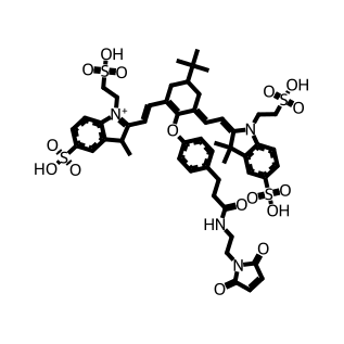 CC1C(/C=C/C2=C(Oc3ccc(CCC(=O)NCCN4C(=O)C=CC4=O)cc3)C(=C/C=C3/N(CCS(=O)(=O)O)c4ccc(S(=O)(=O)O)cc4C3(C)C)/CC(C(C)(C)C)C2)=[N+](CCS(=O)(=O)O)c2ccc(S(=O)(=O)O)cc21